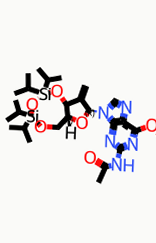 C=C1C2O[Si](C(C)C)(C(C)C)O[Si](C(C)C)(C(C)C)OC[C@H]2O[C@H]1n1cnc2c(OC)nc(NC(C)=O)nc21